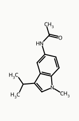 CC(=O)Nc1ccc2c(c1)c(C(C)C)cn2C